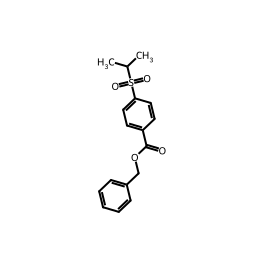 CC(C)S(=O)(=O)c1ccc(C(=O)OCc2ccccc2)cc1